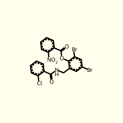 O=C(NCc1cc(Br)cc(Br)c1OC(=O)c1ccccc1[N+](=O)[O-])c1ccccc1Cl